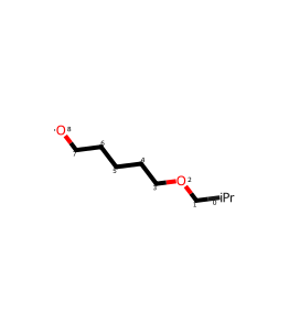 [CH2]C(C)COCCCCC[O]